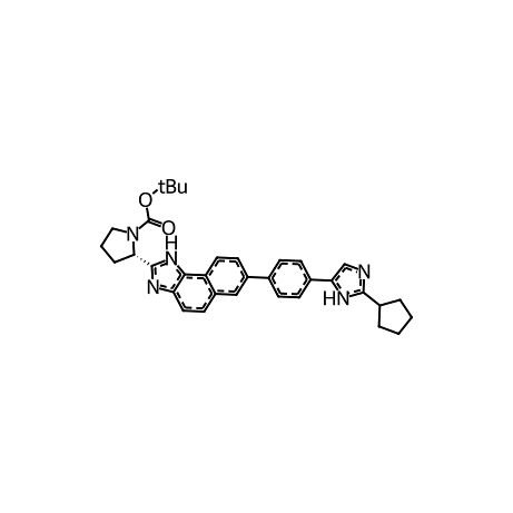 CC(C)(C)OC(=O)N1CCC[C@H]1c1nc2ccc3cc(-c4ccc(-c5cnc(C6CCCC6)[nH]5)cc4)ccc3c2[nH]1